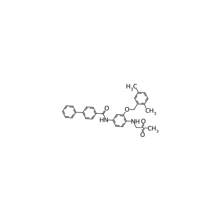 Cc1ccc(C)c(COc2cc(NC(=O)c3ccc(-c4ccccc4)cc3)ccc2NCS(C)(=O)=O)c1